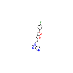 Cc1nc2cnccc2n1CCC1CC2CC(c3ccc(F)cc3)OC2O1